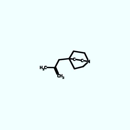 C=C(C)CC12CCN(CC1)CC2